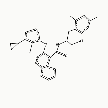 Cc1ccc(CC(CCl)NC(=O)c2c(Oc3cccc(C4CC4)c3F)nnc3ccccc23)c(C)c1